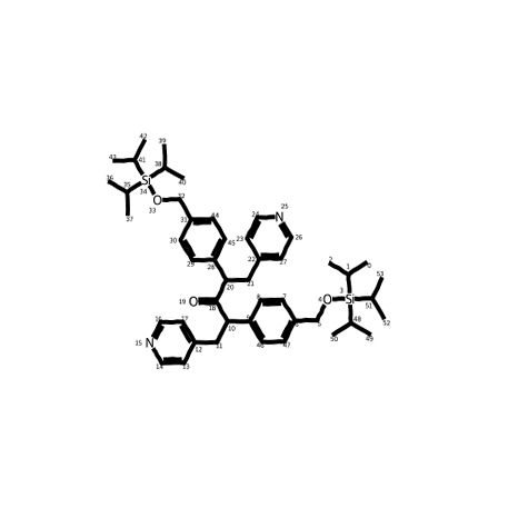 CC(C)[Si](OCc1ccc(C(Cc2ccncc2)C(=O)C(Cc2ccncc2)c2ccc(CO[Si](C(C)C)(C(C)C)C(C)C)cc2)cc1)(C(C)C)C(C)C